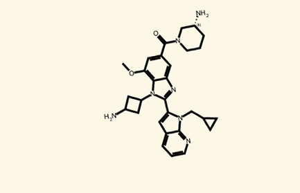 COc1cc(C(=O)N2CCC[C@@H](N)C2)cc2nc(-c3cc4cccnc4n3CC3CC3)n(C3CC(N)C3)c12